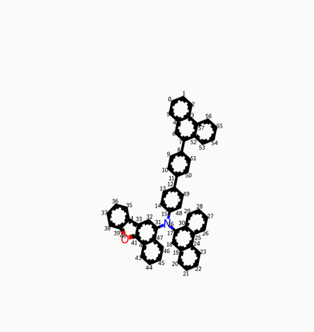 c1ccc2c(c1)cc(-c1ccc(-c3ccc(N(c4cc5ccccc5c5ccccc45)c4cc5c6ccccc6oc5c5ccccc45)cc3)cc1)c1ccccc12